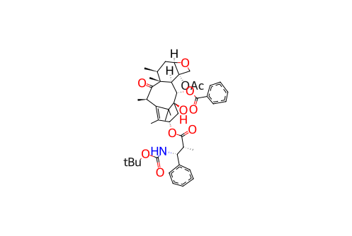 CC(=O)O[C@@]12CO[C@@H]1C[C@H](C)[C@@]1(C)C(=O)[C@H](C)C3=C(C)[C@@H](OC(=O)[C@H](C)[C@@H](NC(=O)OC(C)(C)C)c4ccccc4)C[C@@](O)([C@@H](OC(=O)c4ccccc4)[C@H]21)C3(C)C